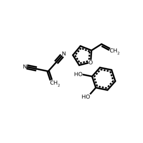 C=C(C#N)C#N.C=Cc1ccco1.Oc1ccccc1O